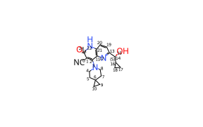 N#Cc1c(N2CCC3(CC2)CC3)c2nc([C@@H](O)C3CC3)ccc2[nH]c1=O